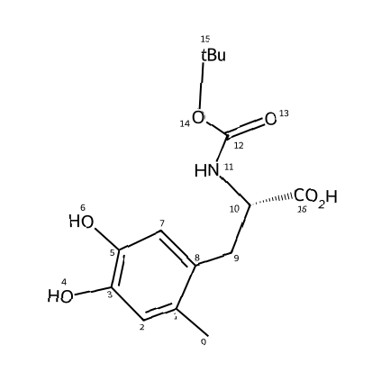 Cc1cc(O)c(O)cc1C[C@H](NC(=O)OC(C)(C)C)C(=O)O